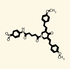 COc1ccc(C/C=C2\CN(C(=O)CCCC(=O)NC3=CCC(=S(=O)=O)C=C3)C/C(=C\Cc3ccc(OC)cc3)C2=O)cc1